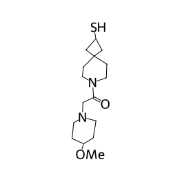 COC1CCN(CC(=O)N2CCC3(CC2)CC(S)C3)CC1